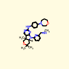 CNCc1cccc(N2c3nc(Nc4ccc(N5CCCOCC5)cc4)ncc3[C@@]3(C)COC(C)(C)C[C@@H]23)n1